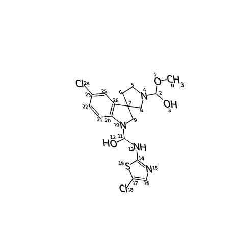 COC(O)N1CCC2(C1)CN(C(O)Nc1ncc(Cl)s1)c1ccc(Cl)cc12